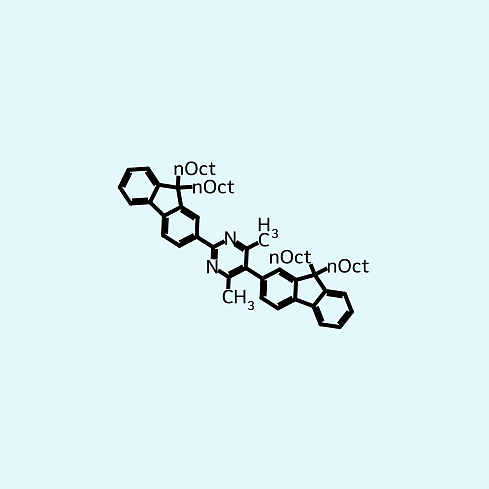 CCCCCCCCC1(CCCCCCCC)c2ccccc2-c2ccc(-c3nc(C)c(-c4ccc5c(c4)C(CCCCCCCC)(CCCCCCCC)c4ccccc4-5)c(C)n3)cc21